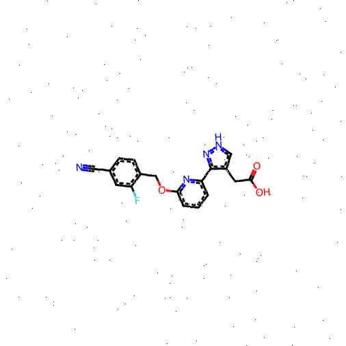 N#Cc1ccc(COc2cccc(-c3n[nH]cc3CC(=O)O)n2)c(F)c1